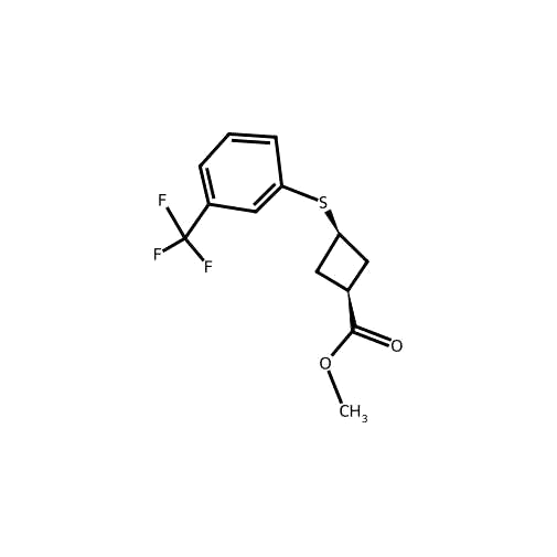 COC(=O)[C@H]1C[C@@H](Sc2cccc(C(F)(F)F)c2)C1